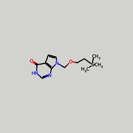 C[Si](C)(C)CCOCn1ccc2c(=O)[nH]cnc21